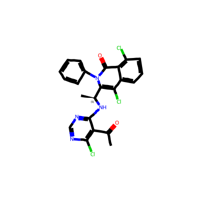 CC(=O)c1c(Cl)ncnc1N[C@@H](C)c1c(Cl)c2cccc(Cl)c2c(=O)n1-c1ccccc1